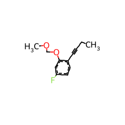 CCC#Cc1ccc(F)cc1OCOC